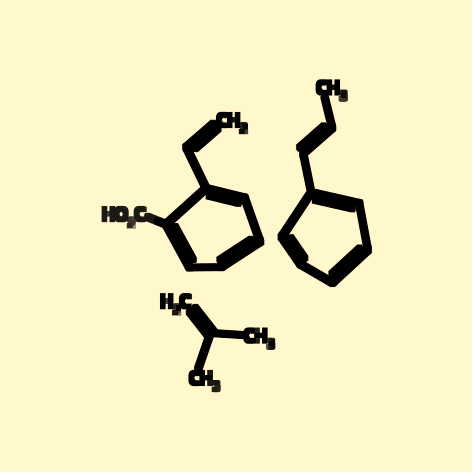 C=C(C)C.C=Cc1ccccc1C(=O)O.CC=Cc1ccccc1